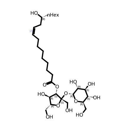 CCCCCC[C@@H](O)C/C=C\CCCCCCCC(=O)O[C@H]1[C@H](O)[C@@H](CO)O[C@@]1(CO)O[C@H]1O[C@H](CO)[C@@H](O)[C@H](O)[C@H]1O